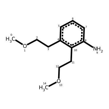 COCCc1cccc(N)c1CCOC